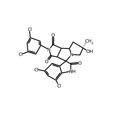 C[C@@]1(O)CC2C3C(=O)N(c4cc(Cl)cc(Cl)c4)C(=O)C3C3(C(=O)Nc4c(Cl)cc(Cl)cc43)N2C1